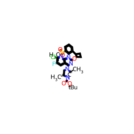 C[C@@H]1CN(c2nc(=O)n(-c3c(C4CCC4)cccc3S(C)(=O)=O)c3nc(Cl)c(F)cc23)[C@@H](C)CN1C(=O)OC(C)(C)C